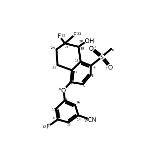 CS(=O)(=O)c1ccc(Oc2cc(F)cc(C#N)c2)c2c1C(O)C(F)(F)CC2